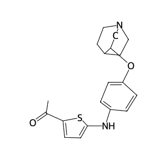 CC(=O)c1ccc(Nc2ccc(OC3CN4CCC3CC4)cc2)s1